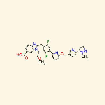 COCCn1c(Cc2cc(F)c(-c3cccc(OCc4ccc(-c5ccnn5C)nc4)n3)cc2F)nc2ccc(C(=O)O)cc21